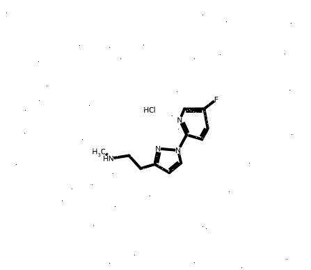 CNCCc1ccn(-c2ccc(F)cn2)n1.Cl